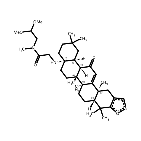 COC(CN(C)C(=O)CN[C@]12CCC(C)(C)C[C@H]1[C@H]1C(=O)C=C3[C@@]4(C)Cc5cnoc5C(C)(C)[C@@H]4CC[C@@]3(C)[C@]1(C)CC2)OC